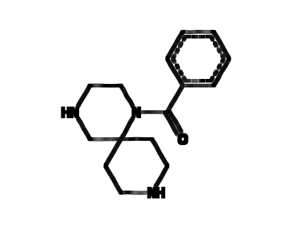 O=C(c1ccccc1)N1CCNCC12CCNCC2